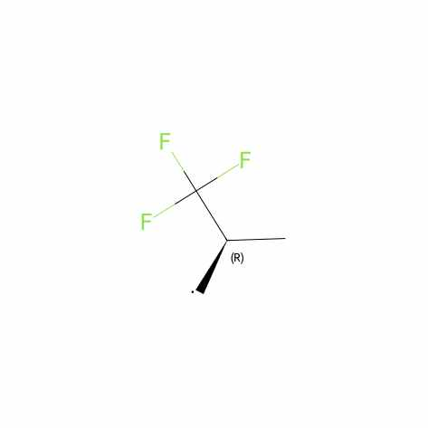 [CH2][C@H](C)C(F)(F)F